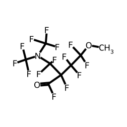 COC(F)(F)C(F)(F)C(F)(C(=O)F)C(F)(F)N(C(F)(F)F)C(F)(F)F